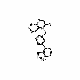 O=c1cnc2cnccc2n1Cc1cccc(-c2cccc3[nH]ncc23)c1